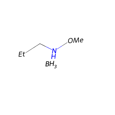 B.CCCNOC